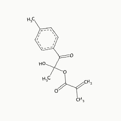 C=C(C)C(=O)OC(C)(O)C(=O)c1ccc(C)cc1